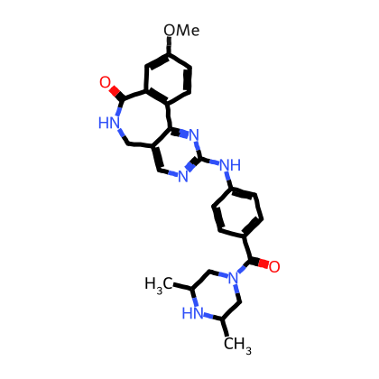 COc1ccc2c(c1)C(=O)NCc1cnc(Nc3ccc(C(=O)N4CC(C)NC(C)C4)cc3)nc1-2